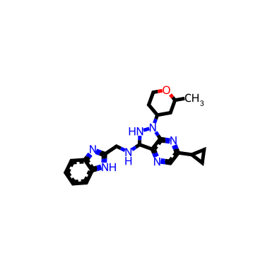 CC1CC(N2NC(NCc3nc4ccccc4[nH]3)c3ncc(C4CC4)nc32)CCO1